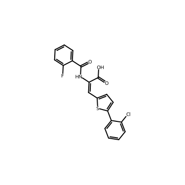 O=C(O)/C(=C\c1ccc(-c2ccccc2Cl)s1)NC(=O)c1ccccc1F